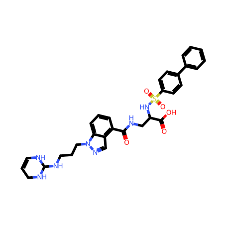 O=C(NCC(NS(=O)(=O)c1ccc(-c2ccccc2)cc1)C(=O)O)c1cccc2c1cnn2CCCNC1NC=CCN1